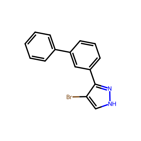 Brc1c[nH]nc1-c1cccc(-c2ccccc2)c1